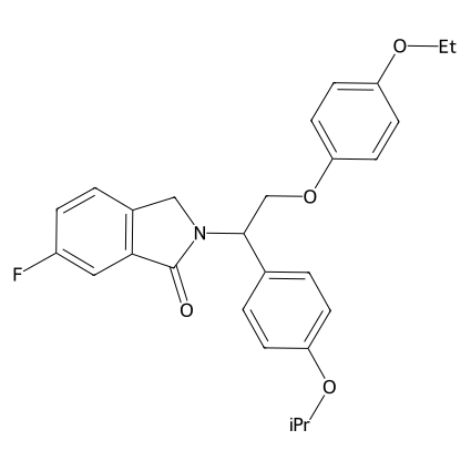 CCOc1ccc(OCC(c2ccc(OC(C)C)cc2)N2Cc3ccc(F)cc3C2=O)cc1